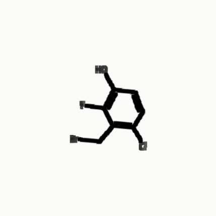 Oc1ccc(Cl)c(CBr)c1F